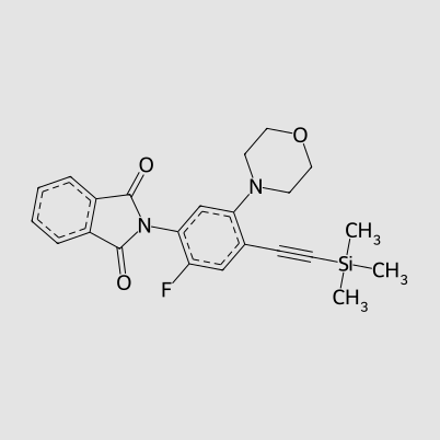 C[Si](C)(C)C#Cc1cc(F)c(N2C(=O)c3ccccc3C2=O)cc1N1CCOCC1